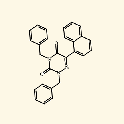 O=c1c(-c2cccc3ccccc23)nn(Cc2ccccc2)c(=O)n1Cc1ccccc1